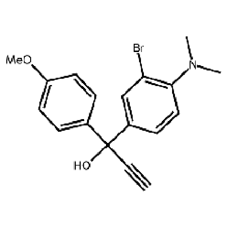 C#CC(O)(c1ccc(OC)cc1)c1ccc(N(C)C)c(Br)c1